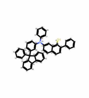 Sc1c(-c2ccccc2)ccc2ccc(N(c3ccccc3)c3cccc(C4(c5ccccc5)c5ccccc5-c5ccccc54)c3)cc12